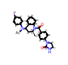 CC(=O)N(c1ccc(I)cc1)[C@@H]1C[C@H](C)N(C(=O)c2ccc(N3CCNC3=O)cc2)c2ccccc21